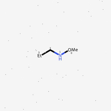 [CH]ONCCC